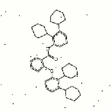 O=C(Oc1cccc(C2CCCCC2)c1C1CCCCC1)c1ccccc1Oc1cccc(C2CCCCC2)c1C1CCCCC1